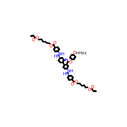 C=CC(=O)OCCCCCCOC(=O)c1ccc(NNc2ccc3c(c2)nc(Oc2ccc(OCCCCCC)cc2)c2cc(NNc4ccc(C(=O)OCCCCCCOC(=O)C=C)cc4)ccc23)cc1